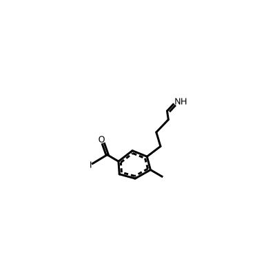 Cc1ccc(C(=O)I)cc1CCCC=N